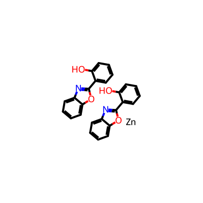 Oc1ccccc1-c1nc2ccccc2o1.Oc1ccccc1-c1nc2ccccc2o1.[Zn]